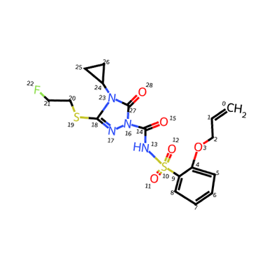 C=CCOc1ccccc1S(=O)(=O)NC(=O)n1nc(SCCF)n(C2CC2)c1=O